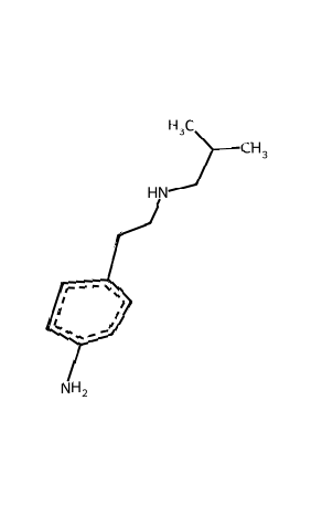 CC(C)CNCCc1ccc(N)cc1